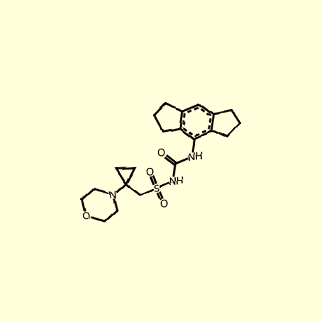 O=C(Nc1c2c(cc3c1CCC3)CCC2)NS(=O)(=O)CC1(N2CCOCC2)CC1